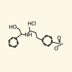 CC(CCc1ccc(S(C)(=O)=O)cc1)NC(CO)c1ccccc1.Cl